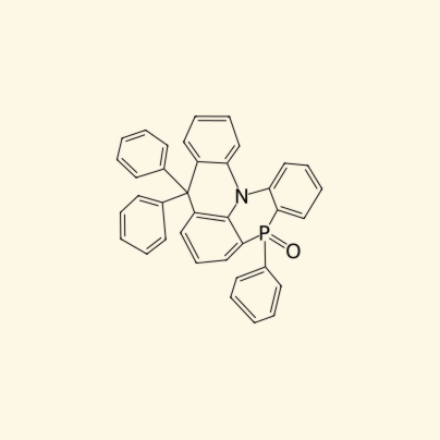 O=P1(c2ccccc2)c2ccccc2N2c3ccccc3C(c3ccccc3)(c3ccccc3)c3cccc1c32